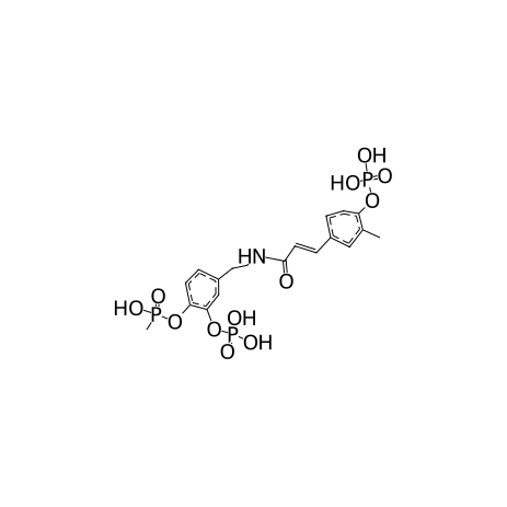 Cc1cc(/C=C/C(=O)NCCc2ccc(OP(C)(=O)O)c(OP(=O)(O)O)c2)ccc1OP(=O)(O)O